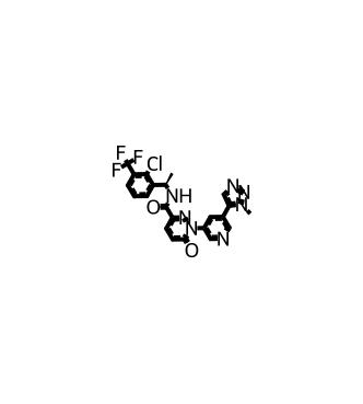 C[C@@H](NC(=O)c1ccc(=O)n(-c2cncc(-c3cnnn3C)c2)n1)c1cccc(C(F)(F)F)c1Cl